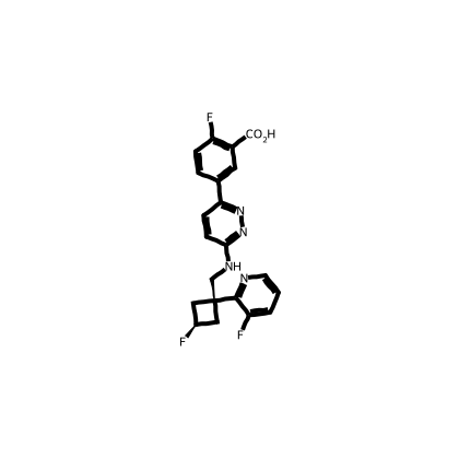 O=C(O)c1cc(-c2ccc(NC[C@]3(c4ncccc4F)C[C@H](F)C3)nn2)ccc1F